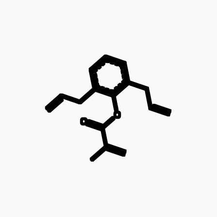 C=CCc1cccc(CC=C)c1OC(=O)C(=C)C